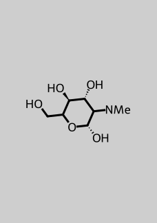 CNC1[C@H](O)OC(CO)[C@@H](O)[C@@H]1O